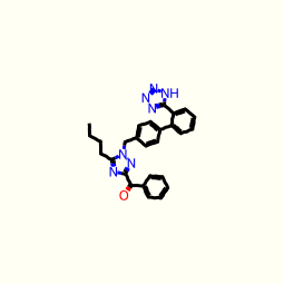 CCCCc1nc(C(=O)c2ccccc2)nn1Cc1ccc(-c2ccccc2-c2nnn[nH]2)cc1